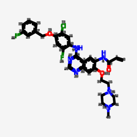 C=CC(=O)Nc1cc2c(Nc3cc(Cl)c(OCc4cccc(F)c4)cc3F)ncnc2cc1OCCN1CCN(C)CC1